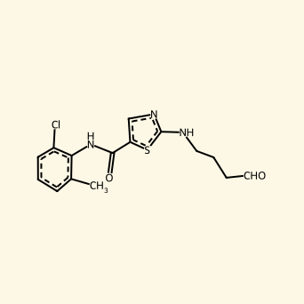 Cc1cccc(Cl)c1NC(=O)c1cnc(NCCCC=O)s1